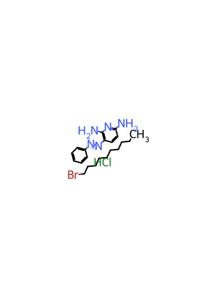 CCCCCCCCCCBr.Cl.Nc1ccc(/N=N/c2ccccc2)c(N)n1